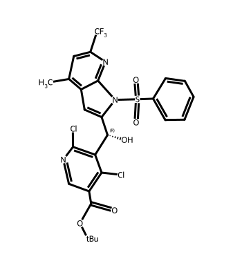 Cc1cc(C(F)(F)F)nc2c1cc([C@H](O)c1c(Cl)ncc(C(=O)OC(C)(C)C)c1Cl)n2S(=O)(=O)c1ccccc1